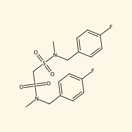 CN(Cc1ccc(F)cc1)S(=O)(=O)CS(=O)(=O)N(C)Cc1ccc(F)cc1